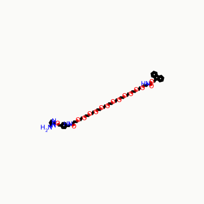 Nc1ccnc(OCc2ccc(CNC(=O)CCOCCOCCOCCOCCOCCOCCOCCOCCOCCOCCOCCOCCNC(=O)OCC3c4ccccc4-c4ccccc43)cc2)n1